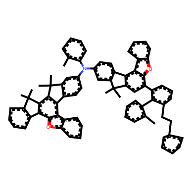 Cc1ccccc1-c1c(CCc2ccccc2)cccc1-c1cc2c(c3c1oc1ccccc13)-c1ccc(N(c3ccc4c(c3)C(C)(C)c3c5c(c6oc7ccccc7c6c3-4)-c3ccccc3C5(C)C)c3ccccc3C)cc1C2(C)C